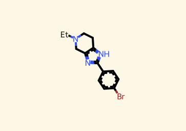 CCN1CCc2[nH]c(-c3ccc(Br)cc3)nc2C1